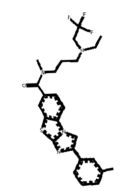 CCN(CCCN(C)C(=O)c1ccc2c(c1)sc1nc(-c3cccc(C)c3)cn12)CC(F)(F)F